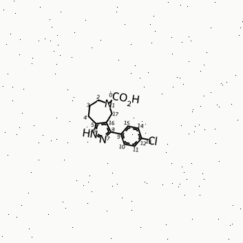 O=C(O)N1CCCc2[nH]nc(-c3ccc(Cl)cc3)c2C1